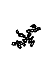 CC12CCCCC1(C)N(c1ccccc1)c1c2ccc2cc3c(-c4ccc5c(-c6ccc(-c7ccccc7)cc6)c6cc(-c7cccc8cc9c%10c(ccc9cc78)C7(C)CCCCC7(C)N%10c7ccccc7)ccc6c(-c6ccc(-c7ccccc7)cc6)c5c4)cccc3cc12